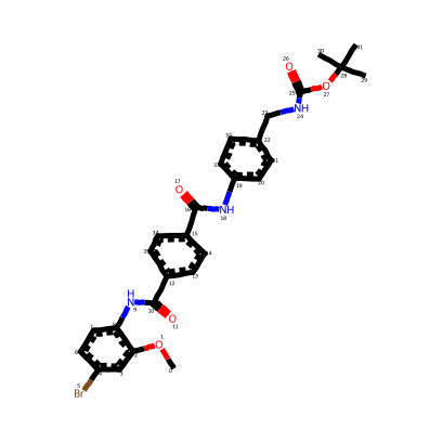 COc1cc(Br)ccc1NC(=O)c1ccc(C(=O)Nc2ccc(CNC(=O)OC(C)(C)C)cc2)cc1